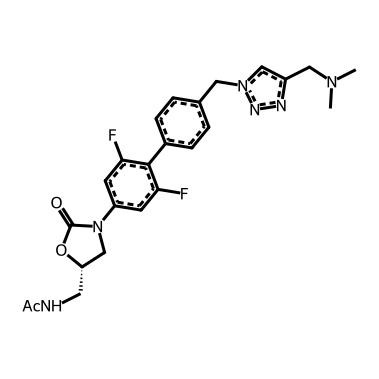 CC(=O)NC[C@H]1CN(c2cc(F)c(-c3ccc(Cn4cc(CN(C)C)nn4)cc3)c(F)c2)C(=O)O1